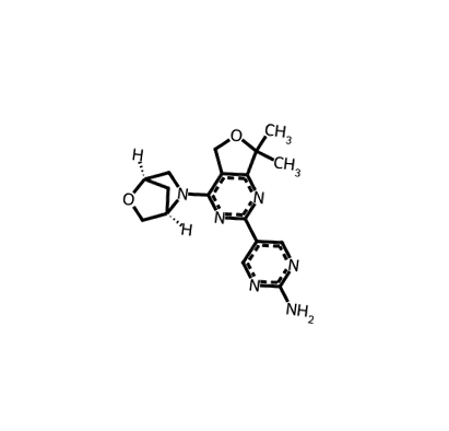 CC1(C)OCc2c(N3C[C@H]4C[C@@H]3CO4)nc(-c3cnc(N)nc3)nc21